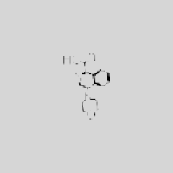 O=C(O)c1ncc(N2CCOCC2)c2ccccc12